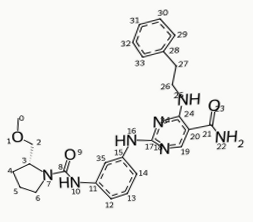 COC[C@H]1CCCN1C(=O)Nc1cccc(Nc2ncc(C(N)=O)c(NCCc3ccccc3)n2)c1